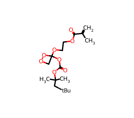 C=C(C)C(=O)OCCOC1(OC(=O)OC(C)(C)CC(C)(C)C)COO1